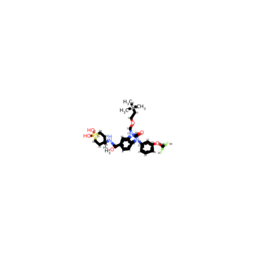 CC1(NC(=O)c2ccc3c(c2)n(COCC[Si](C)(C)C)c(=O)n3-c2cccc(OC(F)F)c2)CCS(O)(O)CC1